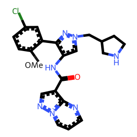 COc1ccc(Cl)cc1-c1nn(CC2CCNC2)cc1NC(=O)c1cnn2cccnc12